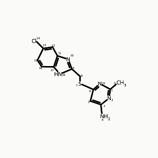 Cc1nc(N)cc(SCc2nc3cc(Cl)ccc3[nH]2)n1